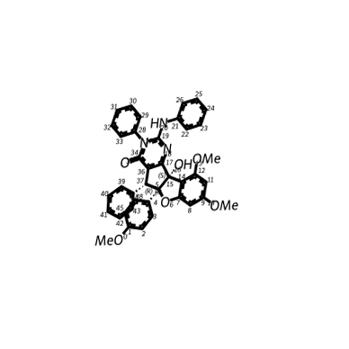 COc1ccc([C@@]23Oc4cc(OC)cc(OC)c4[C@]2(O)c2nc(Nc4ccccc4)n(-c4ccccc4)c(=O)c2[C@H]3c2ccccc2)cc1